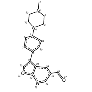 CN1CCN(c2ccc(-c3coc4ncc(C=O)cc34)cc2)CC1